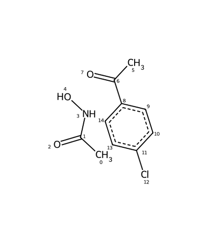 CC(=O)NO.CC(=O)c1ccc(Cl)cc1